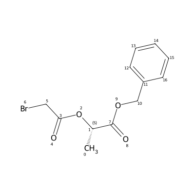 C[C@H](OC(=O)CBr)C(=O)OCc1ccccc1